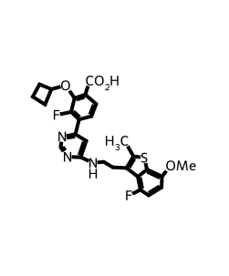 COc1ccc(F)c2c(CCNc3cc(-c4ccc(C(=O)O)c(OC5CCC5)c4F)ncn3)c(C)sc12